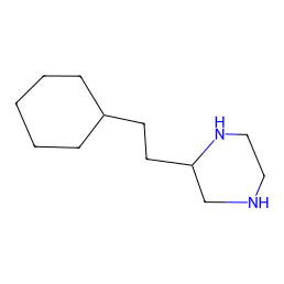 C1CCC(CCC2CNCCN2)CC1